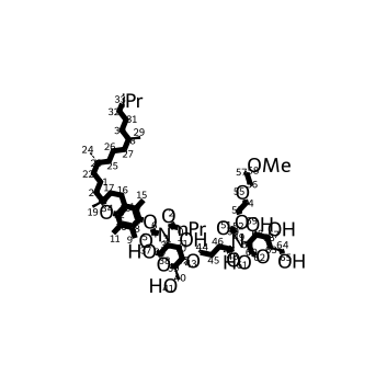 CCCC(=O)N(C(=O)Oc1c(C)c(C)c2c(c1C)CC[C@@](C)(CCC[C@H](C)CCC[C@H](C)CCCC(C)C)O2)[C@H]1C(O)O[C@H](CO)[C@@H](OCCCC(=O)N(C(=O)OCCOCCOC)[C@H]2C(O)O[C@H](CO)[C@@H](O)[C@@H]2O)[C@@H]1O